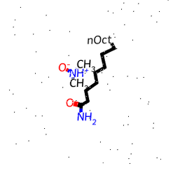 CCCCCCCCCCCCCCCC(N)=O.C[NH+](C)[O-]